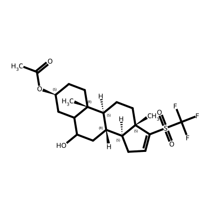 CC(=O)O[C@H]1CC[C@@]2(C)C(C1)C(O)C[C@@H]1[C@@H]2CC[C@]2(C)C(S(=O)(=O)C(F)(F)F)=CC[C@@H]12